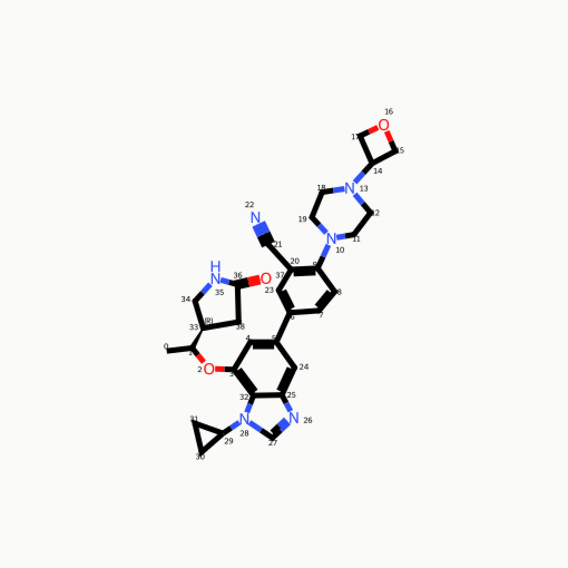 CC(Oc1cc(-c2ccc(N3CCN(C4COC4)CC3)c(C#N)c2)cc2ncn(C3CC3)c12)[C@H]1CNC(=O)C1